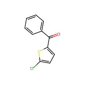 O=C(c1ccccc1)c1ccc(Cl)s1